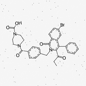 CCC(=O)c1c(-c2ccccc2)c2cc(Br)ccc2c(=O)n1Cc1ccc(C(=O)N2CCN(C(=O)O)CC2)cc1